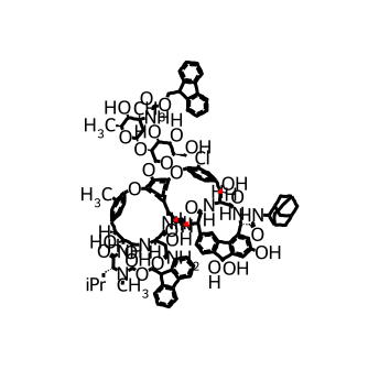 Cc1cc2ccc1Oc1cc3cc(c1O[C@@H]1O[C@H](CO)[C@@H](O)[C@H](O)[C@H]1O[C@H]1C[C@](C)(NC(=O)OCC4c5ccccc5-c5ccccc54)[C@H](O)[C@H](C)O1)Oc1ccc(cc1Cl)[C@@H](O)[C@@H]1NC(=O)[C@H](NC(=O)[C@@H]3NC(=O)[C@H](CC(N)=O)NC(=O)[C@H](NC(=O)[C@@H](CC(C)C)N(C)C(=O)OCC3c4ccccc4-c4ccccc43)[C@@H]2O)c2ccc3c(c2)-c2c(cc(O)cc2C3(O)O)[C@@H](C(=O)NC2C3CC4CC(C3)CC2C4)NC1=O